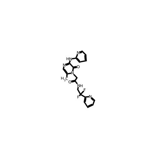 Cc1cnc(Nc2ccccn2)c(=O)n1CC(=O)NCC(F)(F)c1ccccn1